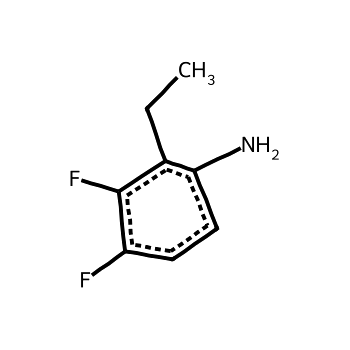 CCc1c(N)ccc(F)c1F